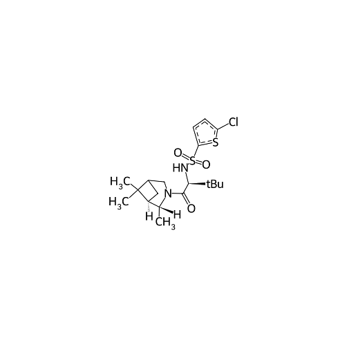 C[C@@H]1[C@@H]2CC(CN1C(=O)[C@@H](NS(=O)(=O)c1ccc(Cl)s1)C(C)(C)C)C2(C)C